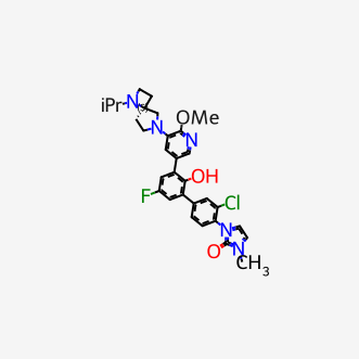 COc1ncc(-c2cc(F)cc(-c3ccc(-n4ccn(C)c4=O)c(Cl)c3)c2O)cc1N1CC[C@]2(CCN2C(C)C)C1